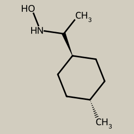 CC(NO)[C@H]1CC[C@H](C)CC1